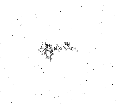 CC1C2CC3CC1CC(C2)C3(CC(=O)N1CC(c2nnn(C)n2)C1)c1ccc(F)cc1